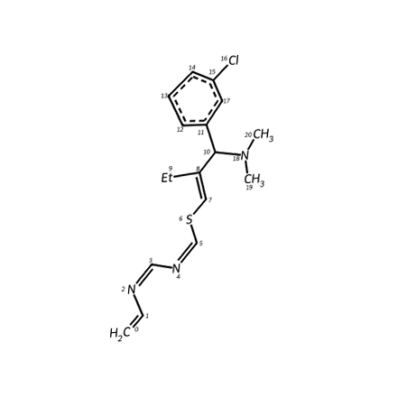 C=C/N=C\N=C/S/C=C(\CC)C(c1cccc(Cl)c1)N(C)C